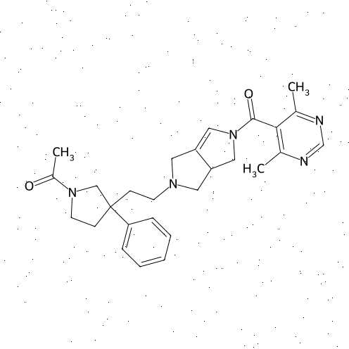 CC(=O)N1CCC(CCN2CC3=CN(C(=O)c4c(C)ncnc4C)CC3C2)(c2ccccc2)C1